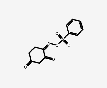 O=C1CCC(=NOS(=O)(=O)c2ccccc2)C(=O)C1